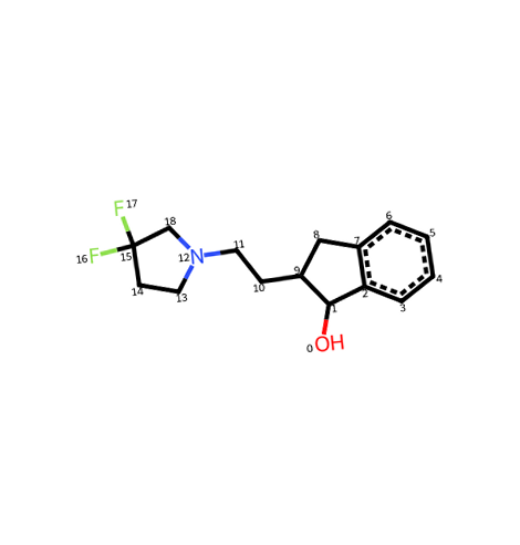 OC1c2ccccc2CC1CCN1CCC(F)(F)C1